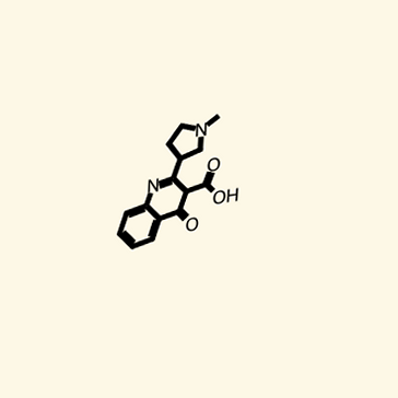 CN1CCC(C2=Nc3ccccc3C(=O)C2C(=O)O)C1